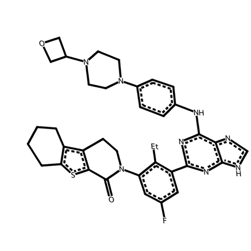 CCc1c(-c2nc(Nc3ccc(N4CCN(C5COC5)CC4)cc3)c3nc[nH]c3n2)cc(F)cc1N1CCc2c(sc3c2CCCC3)C1=O